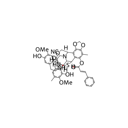 COc1cc2c(cc1O)CCN[C@]21CS[C@@H]2c3c(OC(=O)/C=C/c4ccccc4)c(C)c4c(c3[C@H](COC1=O)N1C2[C@H]2N[C@H](Cc3cc(C)c(OC)c(O)c32)[C@@H]1C#N)OCO4